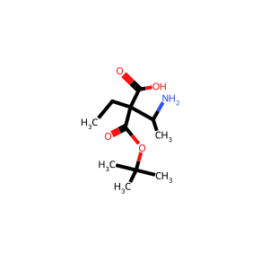 CCC(C(=O)O)(C(=O)OC(C)(C)C)C(C)N